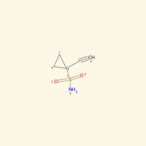 C#CC1(S(N)(=O)=O)CC1